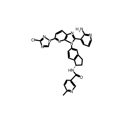 Cc1ccc(C(=O)N[C@H]2CCc3cc(-n4c(-c5cccnc5N)nc5ccc(-n6cnc(Cl)n6)nc54)ccc32)cn1